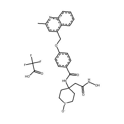 Cc1cc(COc2ccc(C(=O)NC3(CC(=O)NO)CC[S+]([O-])CC3)cc2)c2ccccc2n1.O=C(O)C(F)(F)F